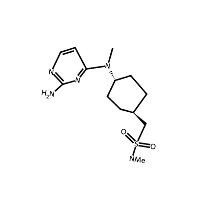 CNS(=O)(=O)C[C@H]1CC[C@H](N(C)c2ccnc(N)n2)CC1